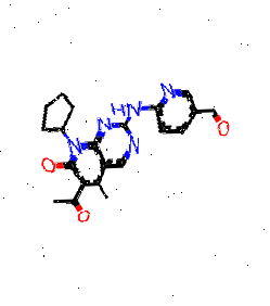 CC(=O)c1c(C)c2cnc(Nc3ccc(C=O)cn3)nc2n(C2CCCC2)c1=O